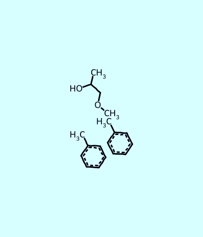 COCC(C)O.Cc1ccccc1.Cc1ccccc1